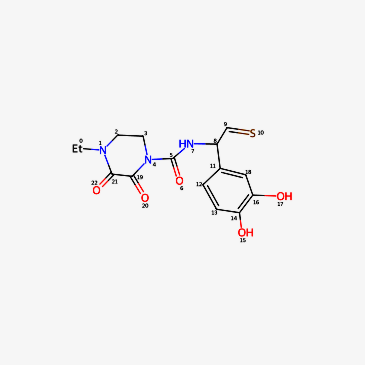 CCN1CCN(C(=O)NC(C=S)c2ccc(O)c(O)c2)C(=O)C1=O